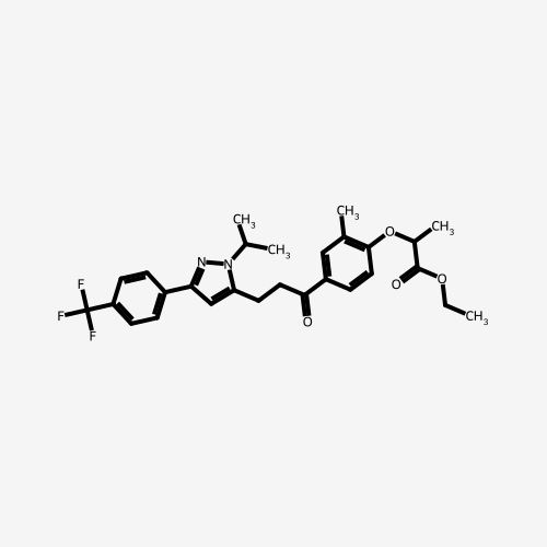 CCOC(=O)C(C)Oc1ccc(C(=O)CCc2cc(-c3ccc(C(F)(F)F)cc3)nn2C(C)C)cc1C